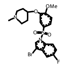 COc1ccc(S(=O)(=O)n2cc(Br)c3cc(F)ccc32)cc1OC1CCN(C)CC1